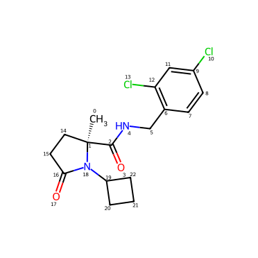 C[C@@]1(C(=O)NCc2ccc(Cl)cc2Cl)CCC(=O)N1C1CCC1